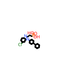 O=P(O)(O)CCc1nc2ccc(Cl)cc2n1-c1ccc(-c2ccccc2)cc1